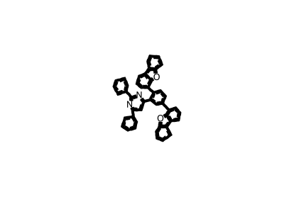 c1ccc(-c2cc(-c3cc(-c4cccc5c4oc4ccccc45)ccc3-c3cccc4c3oc3ccccc34)nc(-c3ccccc3)n2)cc1